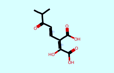 CC(C)C(=O)/C=C/C(C(=O)O)=C(\O)C(=O)O